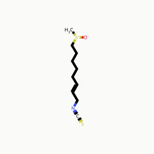 C[S+]([O-])CCCCC/C=C/CN=C=S